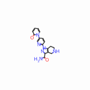 NC(=O)c1nn(-c2ccc(-n3ccccc3=O)cn2)c2c1CNCC2